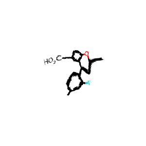 Cc1ccc(C2=CC(C)Oc3ccc(C(=O)O)cc32)c(F)c1